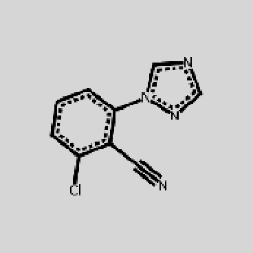 N#Cc1c(Cl)cccc1-n1cncn1